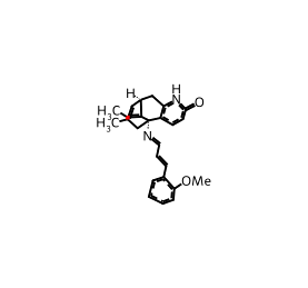 C/C=C1\[C@H]2C=C(C)C[C@]1(N=CC=Cc1ccccc1OC)c1ccc(=O)[nH]c1C2